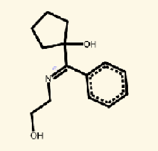 OCC/N=C(\c1ccccc1)C1(O)CCCC1